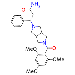 COc1cc(OC)c(C(=O)N2CC3CN([C@@H](CC(N)=O)c4ccccc4)CC3C2)c(OC)c1